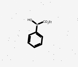 CCOC(=O)N(O)c1ccccc1